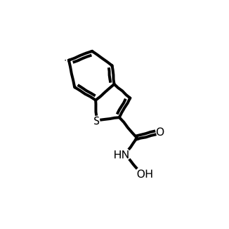 O=C(NO)c1cc2cc[c]cc2s1